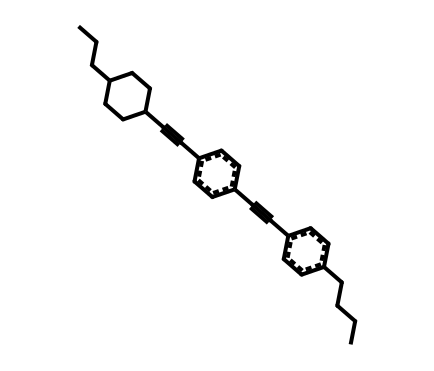 CCCCc1ccc(C#Cc2ccc(C#CC3CCC(CCC)CC3)cc2)cc1